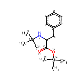 C[Si](C)(C)NC(Cc1ccccc1)C(=O)O[Si](C)(C)C